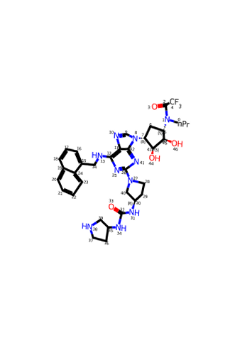 CCCN(C(=O)C(F)(F)F)[C@H]1C[C@@H](n2cnc3c(NCc4cccc5ccccc45)nc(N4CC[C@@H](NC(=O)NC5CCNC5)C4)nc32)[C@H](O)[C@@H]1O